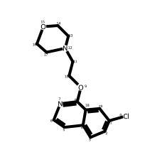 Clc1ccc2ccnc(OCCN3CCOCC3)c2c1